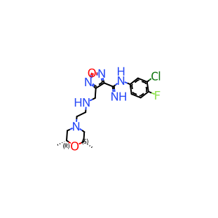 C[C@@H]1CN(CCNCc2nonc2C(=N)Nc2ccc(F)c(Cl)c2)C[C@H](C)O1